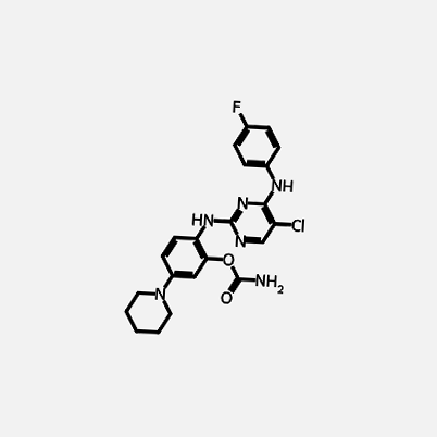 NC(=O)Oc1cc(N2CCCCC2)ccc1Nc1ncc(Cl)c(Nc2ccc(F)cc2)n1